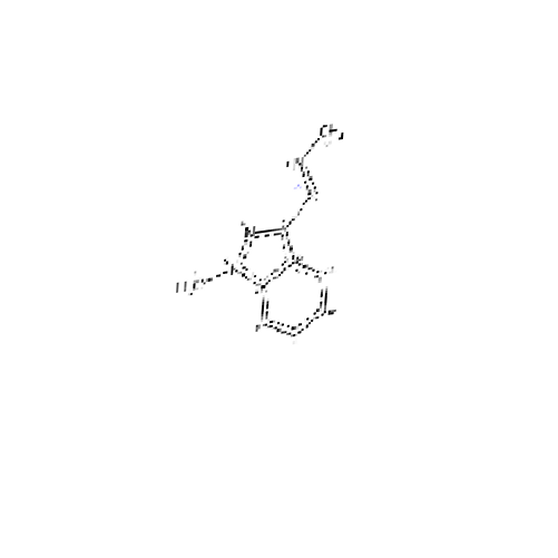 C/N=C/c1nn(C)c2ccccc12